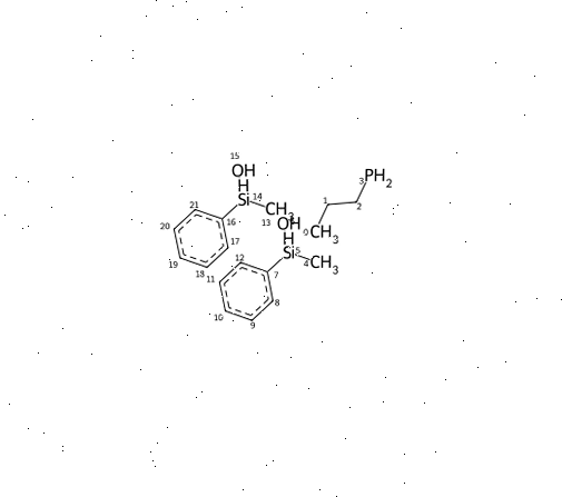 CCCP.C[SiH](O)c1ccccc1.C[SiH](O)c1ccccc1